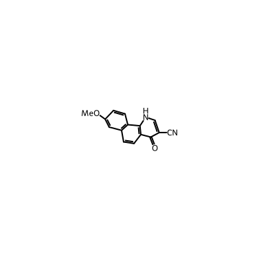 COc1ccc2c(ccc3c(=O)c(C#N)c[nH]c32)c1